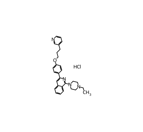 CCN1CCN(c2nc(-c3ccc(OCCCc4cccnc4)cc3)cc3ccccc23)CC1.Cl